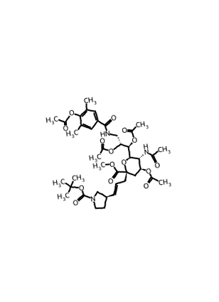 COC(=O)[C@@]1(C/C=C/[C@H]2CCN(C(=O)OC(C)(C)C)C2)C[C@H](OC(C)=O)[C@@H](NC(C)=O)[C@H]([C@H](OC(C)=O)[C@@H](CNC(=O)c2cc(C)c(OC(C)=O)c(C)c2)OC(C)=O)O1